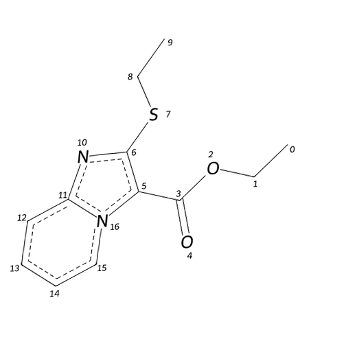 CCOC(=O)c1c(SCC)nc2ccccn12